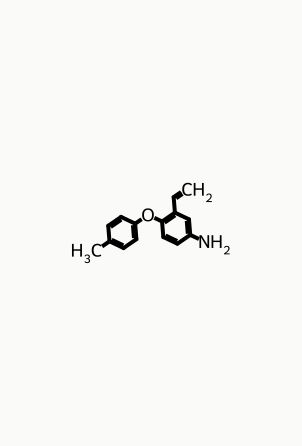 C=Cc1cc(N)ccc1Oc1ccc(C)cc1